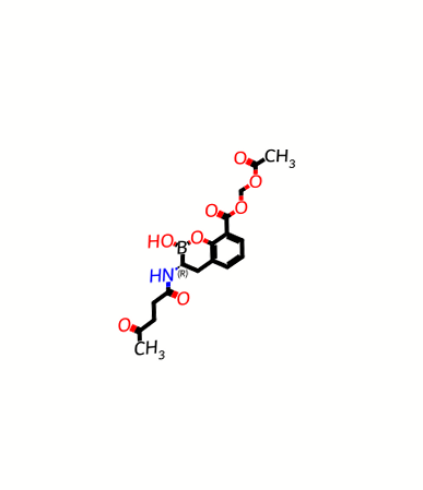 CC(=O)CCC(=O)N[C@H]1Cc2cccc(C(=O)OCOC(C)=O)c2OB1O